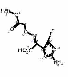 BOC(=O)CO/N=C(\C(=O)O)c1nc(N)sc1F